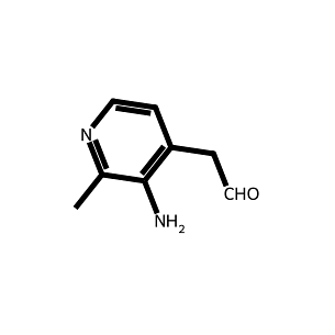 Cc1nccc(CC=O)c1N